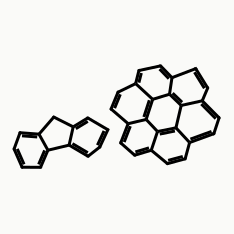 c1cc2ccc3ccc4ccc5ccc6ccc1c1c2c3c4c5c61.c1ccc2c(c1)Cc1ccccc1-2